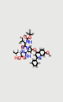 CCC[C@H](NC(=N)[C@@H]1CC(Oc2cc(-c3ccccc3)nc3cc(OC)ccc23)CN1C(=O)[C@@H](NC(=O)OC(C)(C)C)C(C)C)C(=O)O